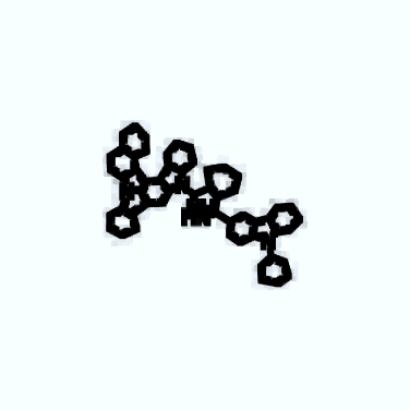 N=C(c1ccc2c(c1)c1ccccc1n2-c1ccccc1)c1ccccc1C(=N)n1c2ccccc2c2c3c4c5ccccc5ccc4n4c5ccccc5c(cc21)c34